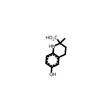 CC1(C(=O)O)CCc2cc(O)ccc2N1